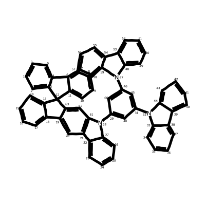 c1ccc2c(c1)-c1ccccc1C21c2ccccc2-c2cc3c4ccccc4n(-c4cc(-n5c6ccccc6c6ccccc65)cc(-n5c6ccccc6c6ccccc65)c4)c3cc21